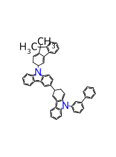 CC1(C)C2=CCC(n3c4ccccc4c4cc(C5C=c6c(n(-c7cccc(-c8ccccc8)c7)c7ccccc67)=CC5)ccc43)C=C2c2ccccc21